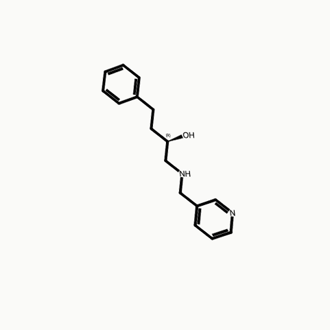 O[C@H](CCc1ccccc1)CNCc1cccnc1